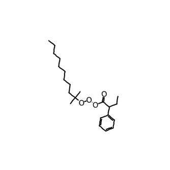 CCCCCCCCCC(C)(C)OOOC(=O)C(CC)c1ccccc1